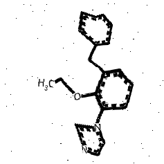 CCOc1c(Cc2ccccc2)cccc1-n1ccnc1